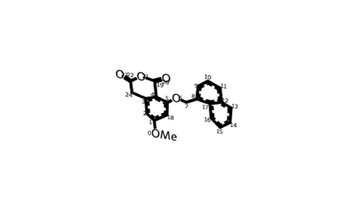 COc1cc2c(c(OCc3cccc4ccccc34)c1)C(=O)OC(=O)C2